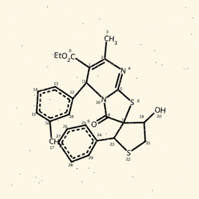 CCOC(=O)C1=C(C)N=C2SC3(C(=O)N2C1c1cccc(C)c1)C(O)CSC3c1ccccc1